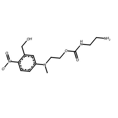 CN(CCOC(=O)NCCN)c1ccc([N+](=O)[O-])c(CO)c1